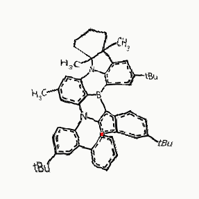 Cc1cc2c3c(c1)N1c4c(cc(C(C)(C)C)cc4C4(C)CCCCC14C)B3c1c(oc3cc(C(C)(C)C)ccc13)N2c1ccc(C(C)(C)C)cc1-c1ccccc1